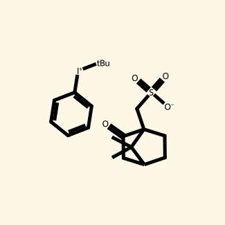 CC(C)(C)[I+]c1ccccc1.CC1(C)C2CCC1(CS(=O)(=O)[O-])C(=O)C2